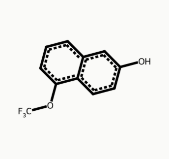 Oc1ccc2c(OC(F)(F)F)cccc2c1